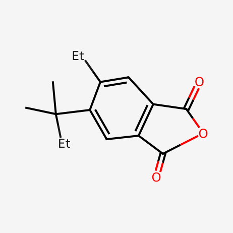 CCc1cc2c(cc1C(C)(C)CC)C(=O)OC2=O